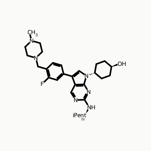 CCC[C@H](C)Nc1ncc2c(-c3ccc(CN4CCN(C)CC4)c(F)c3)cn([C@H]3CC[C@H](O)CC3)c2n1